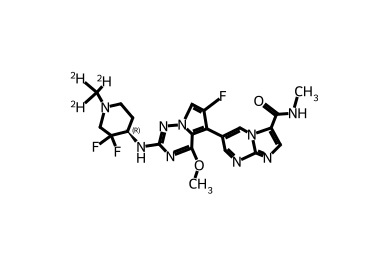 [2H]C([2H])([2H])N1CC[C@@H](Nc2nc(OC)c3c(-c4cnc5ncc(C(=O)NC)n5c4)c(F)cn3n2)C(F)(F)C1